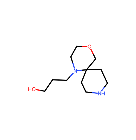 OCCCN1CCOCC12CCNCC2